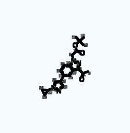 CC(=O)c1nn(CC(=O)OC(C)(C)C)c2ccc(-c3cnn(C4CC4)c3)cc12